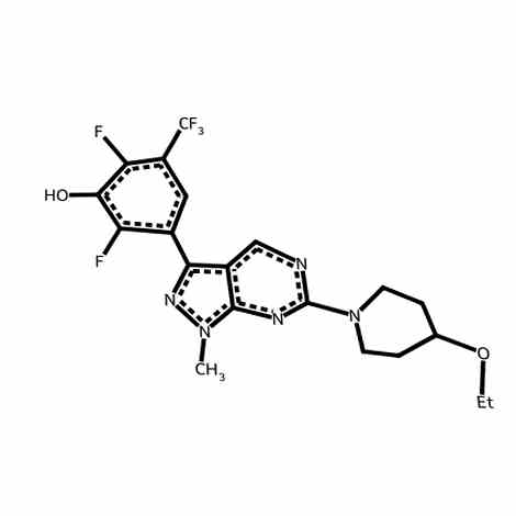 CCOC1CCN(c2ncc3c(-c4cc(C(F)(F)F)c(F)c(O)c4F)nn(C)c3n2)CC1